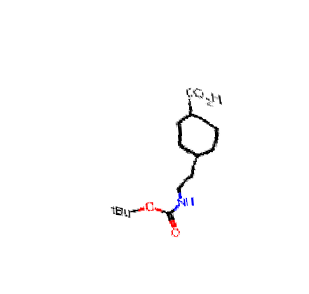 CC(C)(C)OC(=O)NCCC1CCC(C(=O)O)CC1